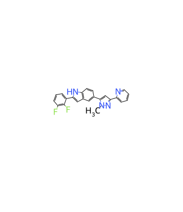 Cn1nc(-c2ccccn2)cc1-c1ccc2[nH]c(-c3cccc(F)c3F)cc2c1